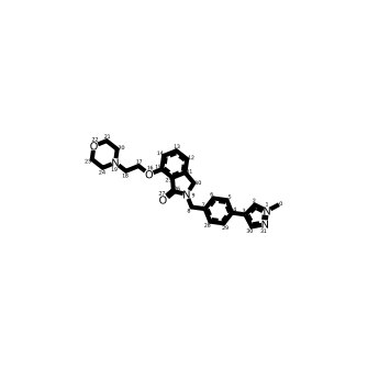 Cn1cc(-c2ccc(CN3Cc4cccc(OCCN5CCOCC5)c4C3=O)cc2)cn1